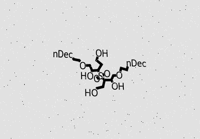 CCCCCCCCCCCCOCC(O)C(CCO)S(=O)(=O)C(CCO)C(O)COCCCCCCCCCCCC